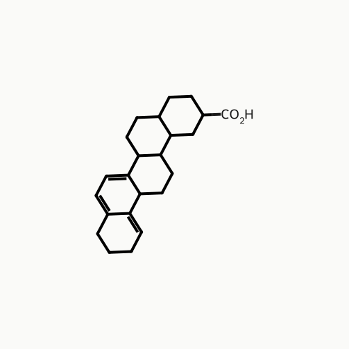 O=C(O)C1CCC2CCC3C4=CC=C5CCCC=C5C4CCC3C2C1